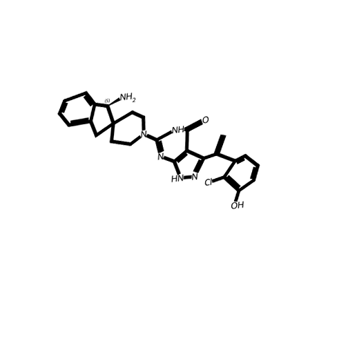 C=C(c1cccc(O)c1Cl)c1n[nH]c2nc(N3CCC4(CC3)Cc3ccccc3[C@H]4N)[nH]c(=O)c12